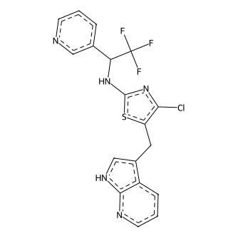 FC(F)(F)C(Nc1nc(Cl)c(Cc2c[nH]c3ncccc23)s1)c1cccnc1